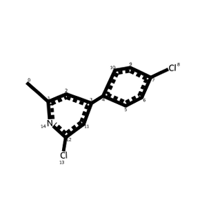 Cc1cc(-c2ccc(Cl)cc2)cc(Cl)n1